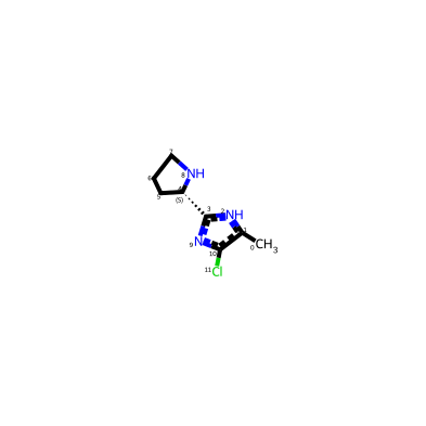 Cc1[nH]c([C@@H]2CCCN2)nc1Cl